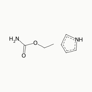 CCOC(N)=O.c1cc[nH]c1